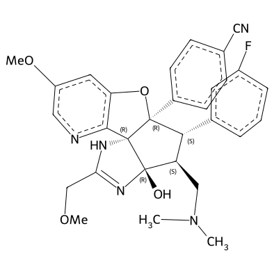 COCC1=N[C@@]2(O)[C@H](CN(C)C)[C@@H](c3cccc(F)c3)[C@]3(c4ccc(C#N)cc4)Oc4cc(OC)cnc4[C@]23N1